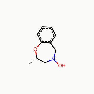 C[C@H]1CN(O)Cc2ccccc2O1